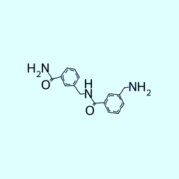 NCc1cccc(C(=O)NCc2cccc(C(N)=O)c2)c1